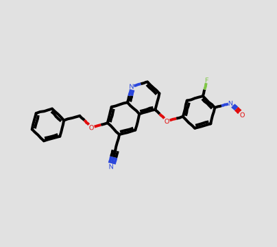 N#Cc1cc2c(Oc3ccc(N=O)c(F)c3)ccnc2cc1OCc1ccccc1